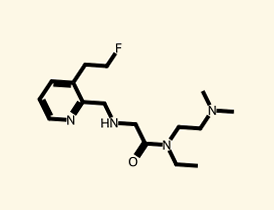 CCN(CCN(C)C)C(=O)CNCc1ncccc1CCF